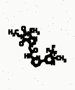 CCn1c(=O)c2c(ncn2CC(=O)Nc2cccc(-c3cnc(C)c(C(F)(F)F)c3)n2)n(C)c1=O